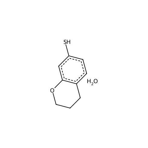 O.Sc1ccc2c(c1)OCCC2